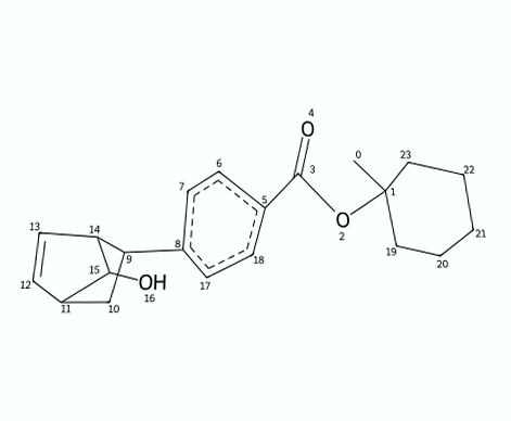 CC1(OC(=O)c2ccc(C3CC4C=CC3C4O)cc2)CCCCC1